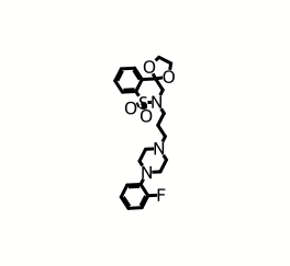 O=S1(=O)c2ccccc2C2(CN1CCCN1CCN(c3ccccc3F)CC1)OCCO2